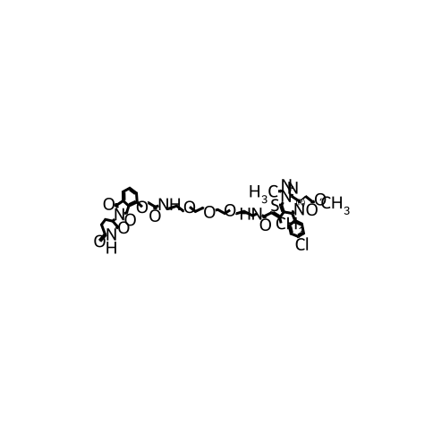 COC(=O)C[C@H]1N=C(c2ccc(Cl)cc2)c2c(sc(C(=O)NCCCOCCOCCOCCCNC(=O)COc3cccc4c3C(=O)N(C3CCC(=O)NC3=O)C4=O)c2C)-n2c(C)nnc21